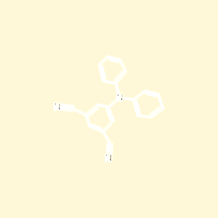 N#Cc1cc(C#N)cc(N(c2ccccc2)c2ccccc2)c1